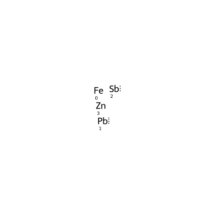 [Fe].[Pb].[Sb].[Zn]